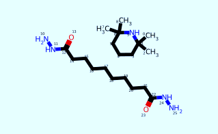 CC1(C)CCCC(C)(C)N1.NNC(=O)CCCCCCCCC(=O)NN